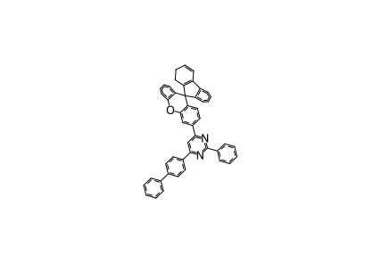 C1=CC2=C(CC1)C1(c3ccccc3Oc3cc(-c4cc(-c5ccc(-c6ccccc6)cc5)nc(-c5ccccc5)n4)ccc31)c1ccccc12